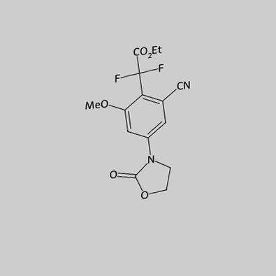 CCOC(=O)C(F)(F)c1c(C#N)cc(N2CCOC2=O)cc1OC